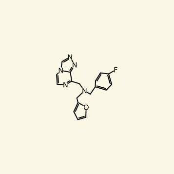 Fc1ccc(CN(Cc2ccco2)Cc2nccn3cnnc23)cc1